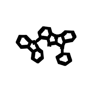 c1ccc(-n2c3ccccc3n3c4cccc(-n5c6ccccc6c6ccccc65)c4nc23)cc1